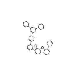 C1=CCC(C2C=C(C3=CCCC=C3)C=C(C3CC=C(C4=CC=CC5C6=C(OC45)C4=C(CC6)C5CCC=C(C6CC=CCC6)C5O4)CC3)C2)C=C1